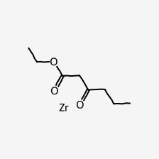 CCCC(=O)CC(=O)OCC.[Zr]